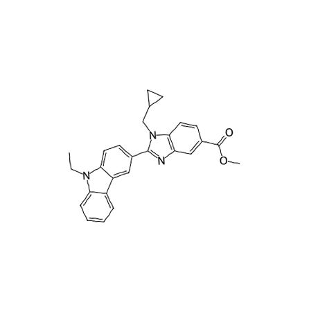 CCn1c2ccccc2c2cc(-c3nc4cc(C(=O)OC)ccc4n3CC3CC3)ccc21